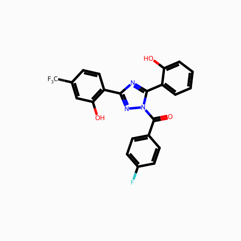 O=C(c1ccc(F)cc1)n1nc(-c2ccc(C(F)(F)F)cc2O)nc1-c1ccccc1O